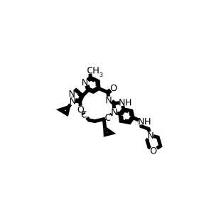 Cc1cc2cc(n1)-c1cnn(C3CC3)c1OCCCC(C1CC1)CN1/C(=N/C2=O)Nc2cc(NCCN3CCOCC3)ccc21